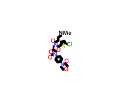 CNCCCC(=O)N(C[C@H]1CN(c2ccc(N3CCOCC3=O)cc2)C(=O)O1)C(=O)c1ccc(Cl)s1